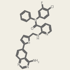 Nc1ncnc2ccc(-c3ccc(CNc4ncccc4C(=O)N(c4ccccc4)c4ccc(Cl)c(F)c4)s3)cc12